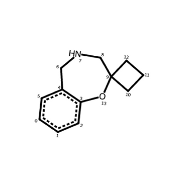 c1ccc2c(c1)CNCC1(CCC1)O2